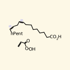 C=CC(=O)OO.CCCCC/C=C\C/C=C\CCCCCCCC(=O)O